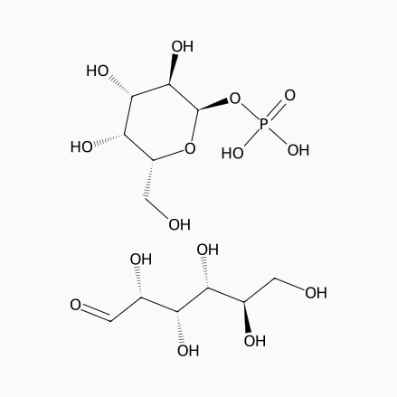 O=C[C@H](O)[C@@H](O)[C@H](O)[C@H](O)CO.O=P(O)(O)O[C@H]1O[C@H](CO)[C@H](O)[C@H](O)[C@H]1O